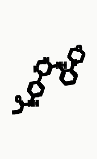 C=CC(=O)Nc1ccc(-c2cc(Nc3ccccc3N3CCOCC3)ncn2)cc1